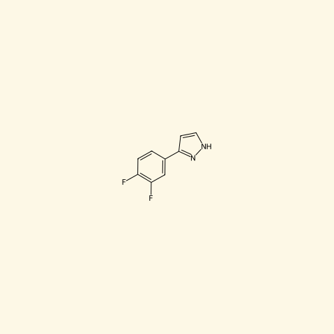 Fc1ccc(-c2cc[nH]n2)cc1F